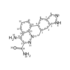 Cc1cc2[nH]ncc2cc1-c1cccc2c(N)c(C(N)=O)nnc12